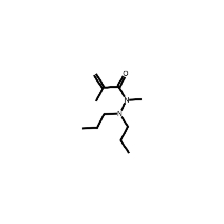 C=C(C)C(=O)N(C)N(CCC)CCC